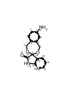 Nc1ccc2c(c1)COC1(OC2)C(=O)Nc2ncccc21